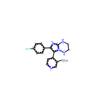 O=C(O)c1cnccc1-c1c(-c2ccc(F)cc2)nc2n1NCCN2